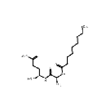 CCCCCCCCCCCCCCCCCC(=O)N[C@@H](C)C(=O)N[C@H](CCC(=O)OC)C(=O)O